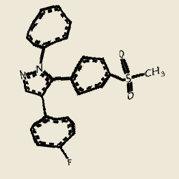 CS(=O)(=O)c1ccc(-c2c(-c3ccc(F)cc3)cnn2-c2ccccc2)cc1